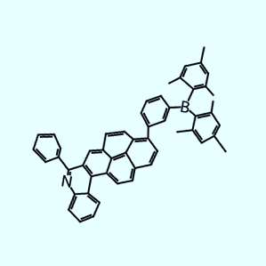 Cc1cc(C)c(B(c2cccc(-c3ccc4ccc5c6c(cc7ccc3c4c75)c(-c3ccccc3)nc3ccccc36)c2)c2c(C)cc(C)cc2C)c(C)c1